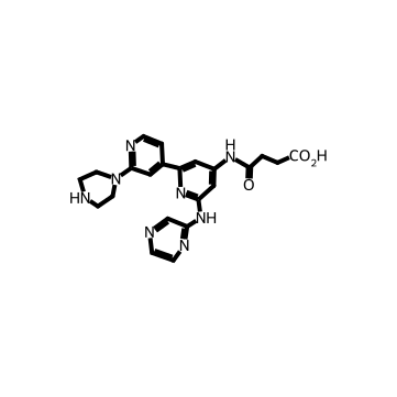 O=C(O)CCC(=O)Nc1cc(Nc2cnccn2)nc(-c2ccnc(N3CCNCC3)c2)c1